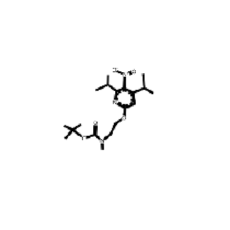 CC(C)c1cc(OCCN(C)C(=O)OC(C)(C)C)nc(C(C)C)c1[N+](=O)[O-]